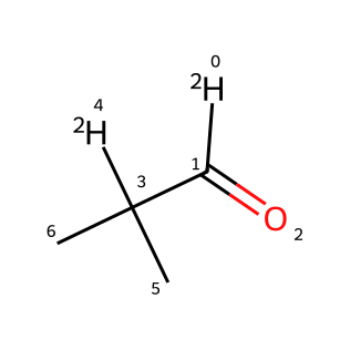 [2H]C(=O)C([2H])(C)C